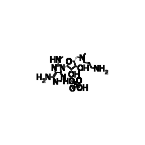 CNc1nc2c(N)ncnc2n1[C@@H]1O[C@H](CN(C)CCCN)C(O)C1O.O=S(=O)(O)O